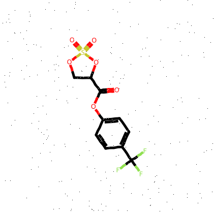 O=C(Oc1ccc(C(F)(F)F)cc1)C1COS(=O)(=O)O1